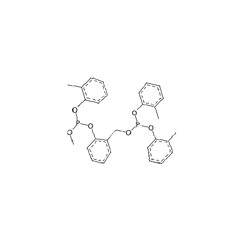 COP(Oc1ccccc1C)Oc1ccccc1COP(Oc1ccccc1C)Oc1ccccc1C